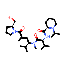 C/C(=C\[C@H](C(C)C)N(C)C(=O)[C@@H](NC(=O)[C@H]1CCCCN1C(C)C)C(C)C)C(=O)N1CCC[C@H]1CO